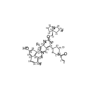 C=CC(=O)N1CCC(c2nc(OC[C@@]34CCCN3C[C@H](F)C4)nc3c(F)c(-c4cc(O)cc5ccc(F)c(F)c45)ncc23)C[C@@H]1C